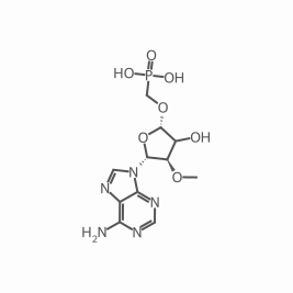 CO[C@@H]1C(O)[C@@H](OCP(=O)(O)O)O[C@H]1n1cnc2c(N)ncnc21